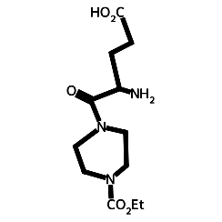 CCOC(=O)N1CCN(C(=O)C(N)CCC(=O)O)CC1